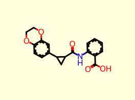 O=C(O)c1ccccc1NC(=O)C1CC1c1ccc2c(c1)OCCO2